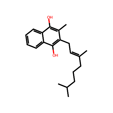 C/C(=C\Cc1c(C)c(O)c2ccccc2c1O)CCCC(C)C